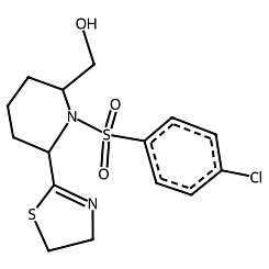 O=S(=O)(c1ccc(Cl)cc1)N1C(CO)CCCC1C1=NCCS1